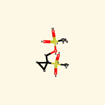 CC(C)S(=O)(=O)C1(COS(C)(=O)=O)CC1